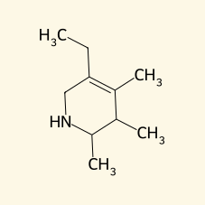 CCC1=C(C)C(C)C(C)NC1